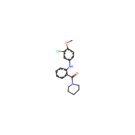 COc1ccc(Nc2ccccc2C(=O)N2CCCCC2)cc1Cl